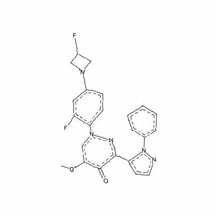 COc1cn(-c2ccc(N3CC(F)C3)cc2F)nc(-c2ccnn2-c2ccccc2)c1=O